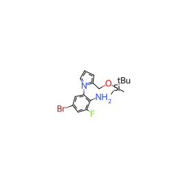 CC(C)(C)[Si](C)(C)OCc1cccn1-c1cc(Br)cc(F)c1N